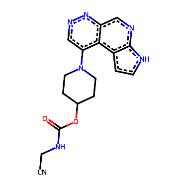 N#CCNC(=O)OC1CCN(c2cnnc3cnc4[nH]ccc4c23)CC1